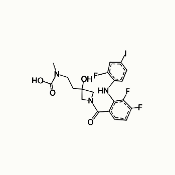 CN(CCC1(O)CN(C(=O)c2ccc(F)c(F)c2Nc2ccc(I)cc2F)C1)C(=O)O